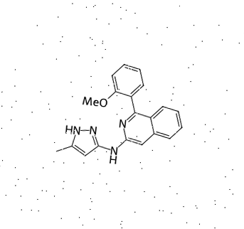 COc1ccccc1-c1nc(Nc2cc(C)[nH]n2)cc2ccccc12